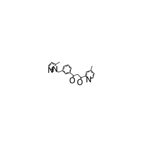 Cc1ccnc(C(=O)CC(=O)c2cccc(Cn3nccc3C)c2)c1